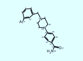 CC(=O)c1cccc(CN2CCN(c3ccc(C(N)=O)cc3)CC2)c1